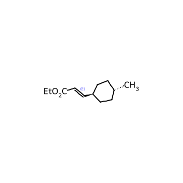 CCOC(=O)/C=C/[C@H]1CC[C@H](C)CC1